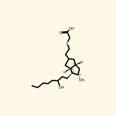 CCCCCC(O)CC[C@H]1[C@@H]2CC(CCSCC(=O)O)C[C@@H]2C[C@@H]1O